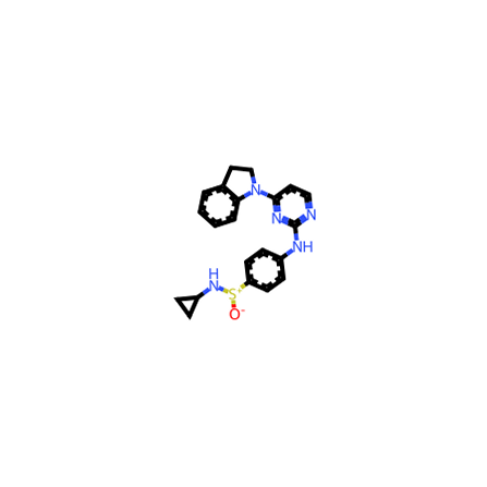 [O-][S+](NC1CC1)c1ccc(Nc2nccc(N3CCc4ccccc43)n2)cc1